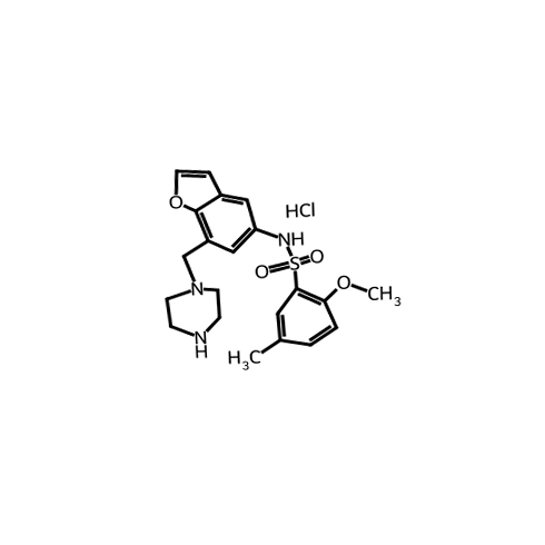 COc1ccc(C)cc1S(=O)(=O)Nc1cc(CN2CCNCC2)c2occc2c1.Cl